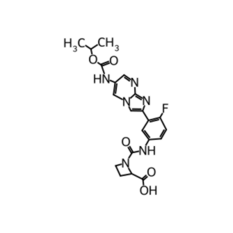 CC(C)OC(=O)Nc1cnc2nc(-c3cc(NC(=O)N4CCC4C(=O)O)ccc3F)cn2c1